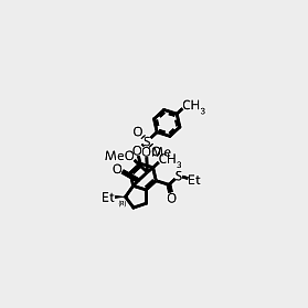 CCSC(=O)C1=C2CC[C@@H](CC)C23C=C(OS(=O)(=O)c2ccc(C)cc2)C1(C)C(OC)(OC)C3=O